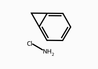 NCl.c1ccc2c(c1)C2